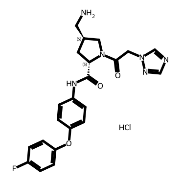 Cl.NC[C@@H]1C[C@@H](C(=O)Nc2ccc(Oc3ccc(F)cc3)cc2)N(C(=O)Cn2cncn2)C1